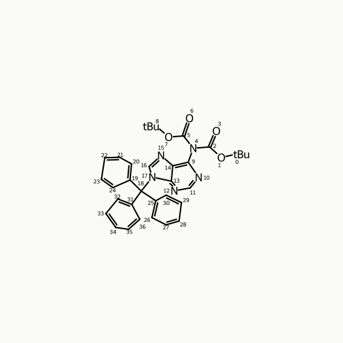 CC(C)(C)OC(=O)N(C(=O)OC(C)(C)C)c1ncnc2c1ncn2C(c1ccccc1)(c1ccccc1)c1ccccc1